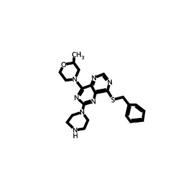 CC1CN(c2nc(N3CCNCC3)nc3c(SCc4ccccc4)ncnc23)CCO1